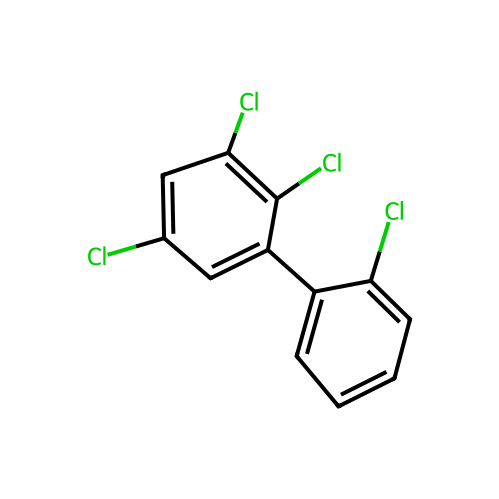 Clc1cc(Cl)c(Cl)c(-c2ccccc2Cl)c1